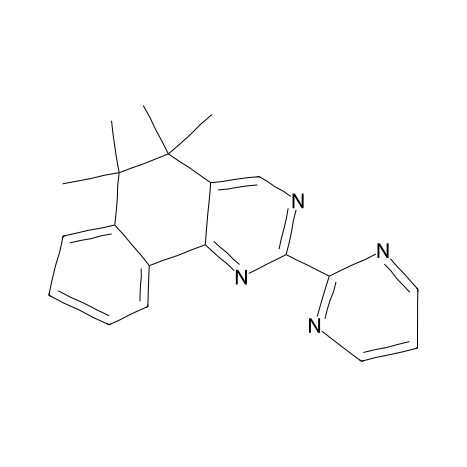 CC1(C)c2ccccc2-c2nc(-c3ncccn3)ncc2C1(C)C